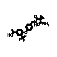 CC(O)c1ccc(Oc2ccc(CNC(=O)C3(C(N)=O)CC3)cc2)c(C(F)(F)F)c1